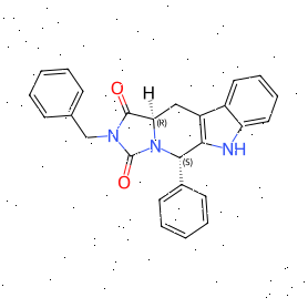 O=C1[C@H]2Cc3c([nH]c4ccccc34)[C@H](c3ccccc3)N2C(=O)N1Cc1ccccc1